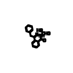 O=CO.O=c1[nH]nc(Cc2ccccc2)c2ccccc12